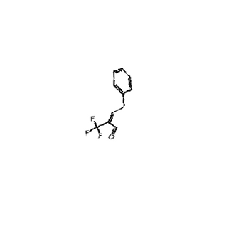 O=C/C(=C\Cc1ccccc1)C(F)(F)F